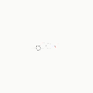 CC(C)(C)OC(=O)N1CCC2(CC1)COc1cc(Br)ccc1C2